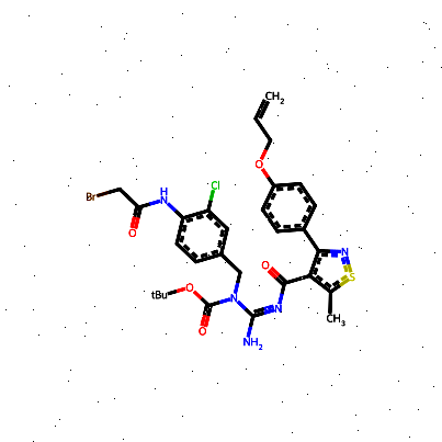 C=CCOc1ccc(-c2nsc(C)c2C(=O)N=C(N)N(Cc2ccc(NC(=O)CBr)c(Cl)c2)C(=O)OC(C)(C)C)cc1